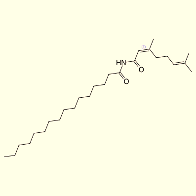 CCCCCCCCCCCCCCCC(=O)NC(=O)/C=C(/C)CCC=C(C)C